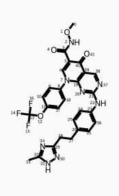 CONC(=O)c1cn(-c2ccc(OC(F)(F)F)cc2)c2nc(Nc3ccc(CCc4n[nH]c(C)n4)cc3)ncc2c1=O